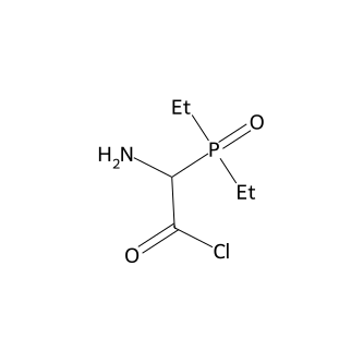 CCP(=O)(CC)C(N)C(=O)Cl